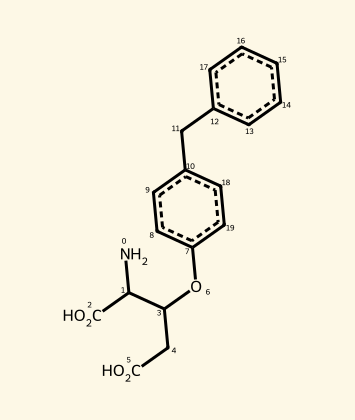 NC(C(=O)O)C(CC(=O)O)Oc1ccc(Cc2ccccc2)cc1